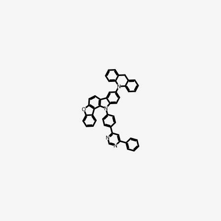 c1ccc(-c2cc(-c3ccc(-n4c5ccc(N6c7ccccc7Cc7ccccc76)cc5c5ccc6oc7ccccc7c6c54)cc3)ncn2)cc1